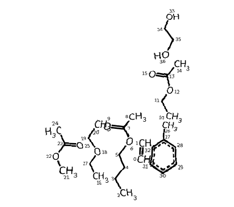 C=C.CCCCOC(C)=O.CCOC(C)=O.CCOCC.COC(C)=O.Cc1ccccc1.OCCO